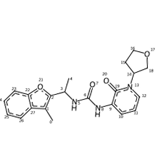 Cc1c(C(C)NC(=O)Nc2cccn(C3CCOC3)c2=O)oc2ccccc12